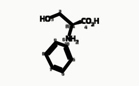 N[C@@H](CO)C(=O)O.c1ccccc1